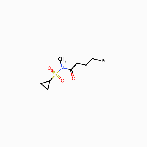 CC(C)CCCC(=O)N(C)S(=O)(=O)C1CC1